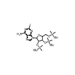 CC(C)(C)[Si](C)(C)OCC1OC(n2cnc3c(N)nc(I)nc32)[C@H](O[Si](C)(C)C(C)(C)C)[C@@H]1O[Si](C)(C)C(C)(C)C